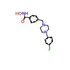 O=C(NO)c1ccc(CN2CCN(c3ccc(F)cc3)CC2)cc1